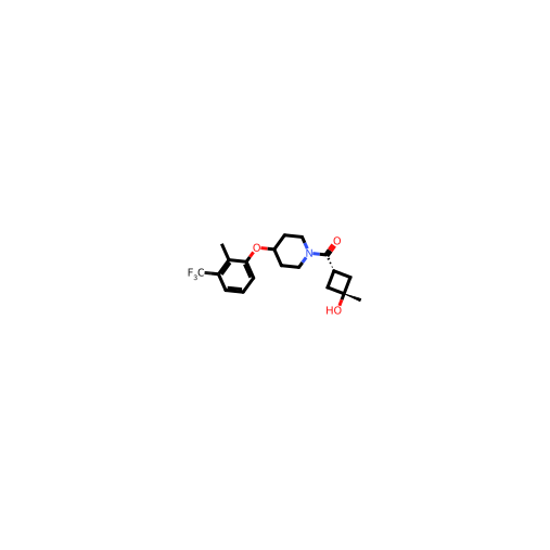 Cc1c(OC2CCN(C(=O)[C@H]3C[C@@](C)(O)C3)CC2)cccc1C(F)(F)F